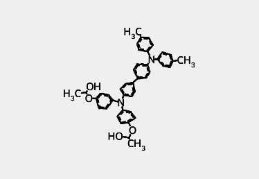 Cc1ccc(N(c2ccc(C)cc2)c2ccc(-c3ccc(N(c4ccc(OC(C)O)cc4)c4ccc(OC(C)O)cc4)cc3)cc2)cc1